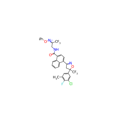 Cc1cc(C2(C(F)(F)F)CC(c3ccc(C(=O)NC/C(=N\OC(C)C)C(F)(F)F)c4ccccc34)=NO2)cc(Cl)c1F